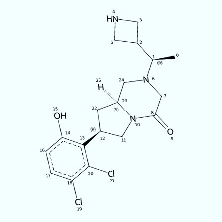 C[C@H](C1CNC1)N1CC(=O)N2C[C@@H](c3c(O)ccc(Cl)c3Cl)C[C@H]2C1